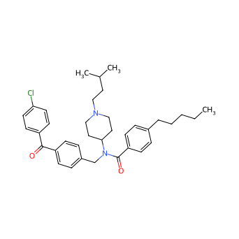 CCCCCc1ccc(C(=O)N(Cc2ccc(C(=O)c3ccc(Cl)cc3)cc2)C2CCN(CCC(C)C)CC2)cc1